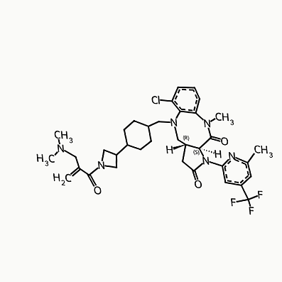 C=C(CN(C)C)C(=O)N1CC(C2CCC(CN3C[C@H]4CC(=O)N(c5cc(C(F)(F)F)cc(C)n5)[C@@H]4C(=O)N(C)c4cccc(Cl)c43)CC2)C1